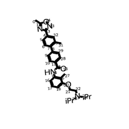 Cc1nc(-c2ccc(-c3ccc(C(=O)Nc4cccc(OCCN(C(C)C)C(C)C)c4C)cc3)c(C)c2)no1